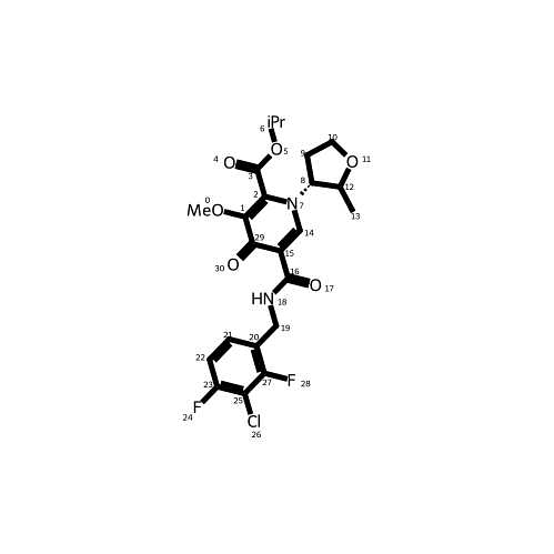 COc1c(C(=O)OC(C)C)n([C@@H]2CCOC2C)cc(C(=O)NCc2ccc(F)c(Cl)c2F)c1=O